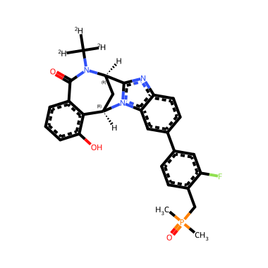 [2H]C([2H])([2H])N1C(=O)c2cccc(O)c2[C@H]2C[C@@H]1c1nc3ccc(-c4ccc(CP(C)(C)=O)c(F)c4)cc3n12